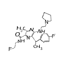 Cc1nc(NCCN2CCCC2)c(C(C)c2ccc(F)cc2)nc1C(=O)NCCF